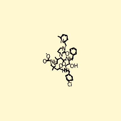 CCC(C)C(C(=O)NC(Cc1ccccc1)C(O)CN(Cc1ccc(Cl)cc1)NC(=O)CC(C)(C)CNC(=O)OC)N1CCN(Cc2cccc(C)n2)C1=O